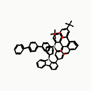 CC(C)(C)c1cc(-c2cccc3cccc(-c4ccccc4N(c4ccc(-c5ccc(-c6ccccc6)cc5)cc4)c4cccc(-c5cccc6c7ccccc7n(-c7ccccc7)c56)c4)c23)cc(C(C)(C)C)c1